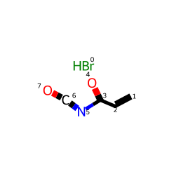 Br.C=CC(=O)N=C=O